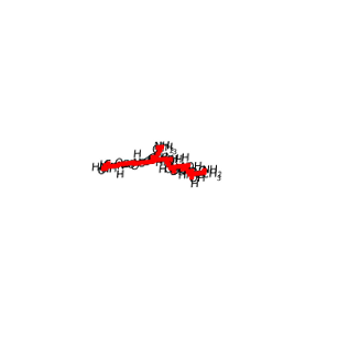 C[C@@H](CCCCNC(=O)[C@H](CCCCNC(=O)[C@H](CO)NC(=O)CCC(=O)[C@H](CO)NC(=O)CCCC(=O)N[C@@H](CO)C(=O)CCC(=O)N[C@@H](CO)C(=O)NCCCC[C@H](C)C(N)=O)CC(=O)COCCOCCNC(=O)COCCOCCNC(=O)CCCCC[C@@H]1SC[C@@H]2NC(=O)N[C@@H]21)C(N)=O